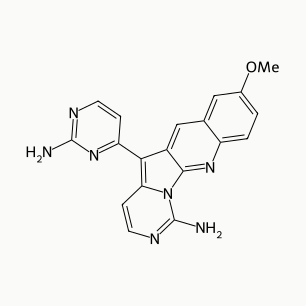 COc1ccc2nc3c(cc2c1)c(-c1ccnc(N)n1)c1ccnc(N)n13